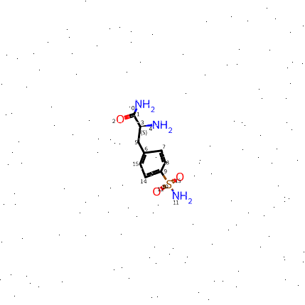 NC(=O)[C@@H](N)Cc1ccc(S(N)(=O)=O)cc1